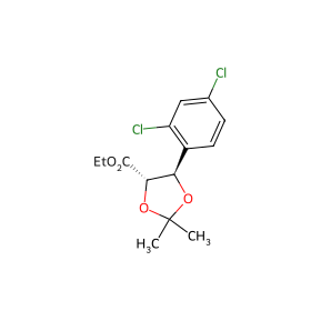 CCOC(=O)[C@H]1OC(C)(C)O[C@@H]1c1ccc(Cl)cc1Cl